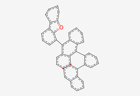 c1ccc(-c2c3ccccc3c(-c3cccc4c3oc3ccccc34)c3ccccc23)c(-c2cccc3ccccc23)c1